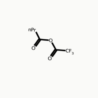 [CH2]CCC(=O)OC(=O)C(F)(F)F